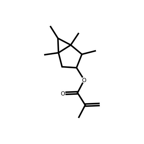 C=C(C)C(=O)OC1CC2(C)C(C)C2(C)C1C